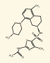 CC(=O)Nc1nc(C)c(S(=O)(=O)N[C@@H]2CCc3c(C)ccc(N4CCN(C)CC4)c3C2)s1